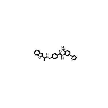 C=C(NCc1ccc(C(=O)Nc2cc(-c3cccs3)ccc2N)cc1)c1cc2ccccc2o1